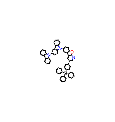 c1ccc([Si](c2ccccc2)(c2ccccc2)c2ccc(-c3cnc4oc5ccc(-n6c7ccccc7c7cc(-n8c9ccccc9c9ccccc98)ccc76)cc5c4c3)cc2)cc1